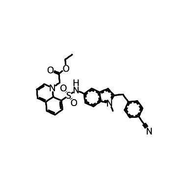 CCOC(=O)CN1C=CC=C2C=CC=C(S(=O)(=O)Nc3ccc4c(c3)cc(Cc3ccc(C#N)cc3)n4C)C21